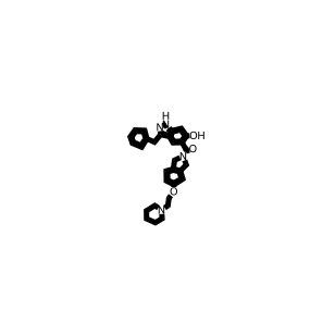 O=C(c1cc2c(Cc3ccccc3)n[nH]c2cc1O)N1Cc2ccc(OCCN3CCCCC3)cc2C1